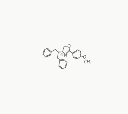 COc1ccc(C2=N[C@@H](C(Cc3ccccc3)Cc3ccccc3)CO2)cc1